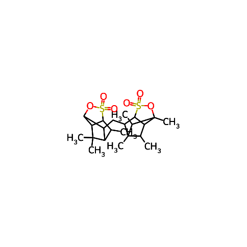 CC1C2C(CC3C4C5C(C)C3(C)C(C)C5(C)OS4(=O)=O)C3OS(=O)(=O)C1C3C2(C)C